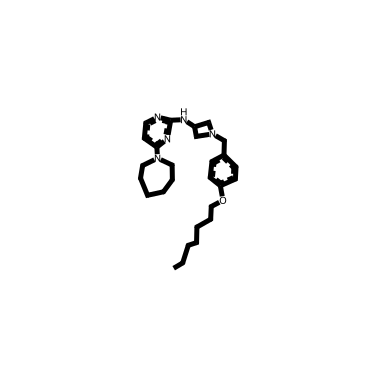 CCCCCCCOc1ccc(CN2CC(Nc3nccc(N4CCCCCC4)n3)C2)cc1